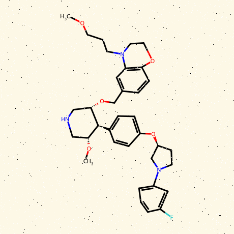 COCCCN1CCOc2ccc(CO[C@H]3CNC[C@@H](OC)[C@@H]3c3ccc(O[C@H]4CCN(c5cccc(F)c5)C4)cc3)cc21